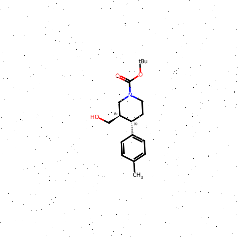 Cc1ccc([C@H]2CCN(C(=O)OC(C)(C)C)C[C@@H]2CO)cc1